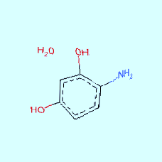 Nc1ccc(O)cc1O.O